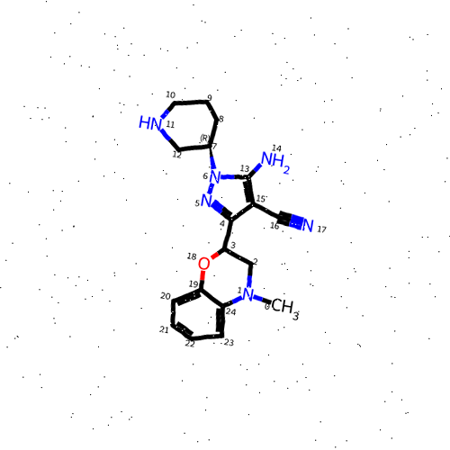 CN1CC(c2nn([C@@H]3CCCNC3)c(N)c2C#N)Oc2ccccc21